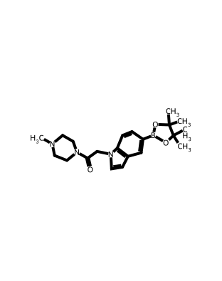 CN1CCN(C(=O)Cn2ccc3cc(B4OC(C)(C)C(C)(C)O4)ccc32)CC1